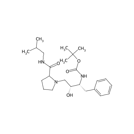 CC(C)CNC(=O)C1CCCN1C[C@@H](O)[C@@H](Cc1ccccc1)NC(=O)OC(C)(C)C